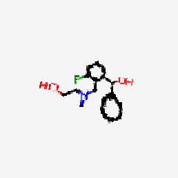 CN(CCO)Cc1c(F)cccc1C(O)c1ccccc1